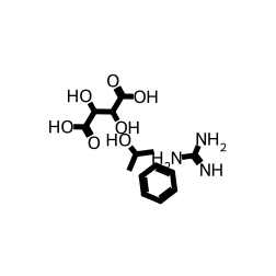 CC(C)O.N=C(N)N.O=C(O)C(O)C(O)C(=O)O.c1ccccc1